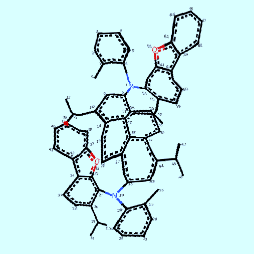 Cc1ccccc1N(c1cc(C(C)C)c2ccc3c(N(c4ccccc4C)c4c(C(C)C)ccc5c4oc4ccccc45)cc(C(C)C)c4ccc1c2c43)c1c(C(C)C)ccc2c1oc1ccccc12